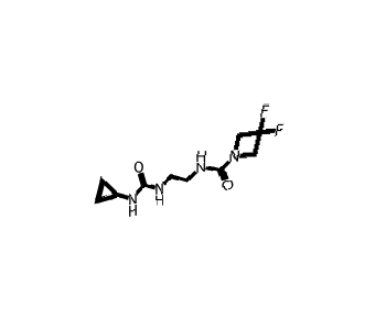 O=C(NCCNC(=O)N1CC(F)(F)C1)NC1CC1